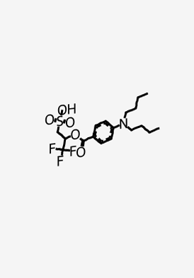 CCCCN(CCCC)c1ccc(C(=O)OC(CS(=O)(=O)O)C(F)(F)F)cc1